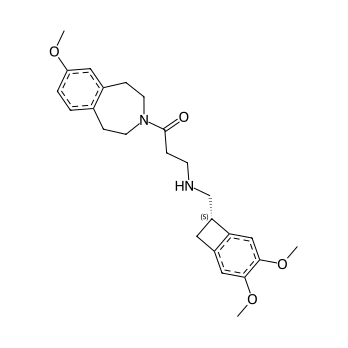 COc1ccc2c(c1)CCN(C(=O)CCNC[C@H]1Cc3cc(OC)c(OC)cc31)CC2